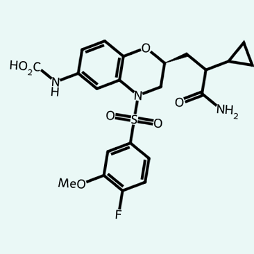 COc1cc(S(=O)(=O)N2C[C@H](CC(C(N)=O)C3CC3)Oc3ccc(NC(=O)O)cc32)ccc1F